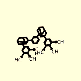 C#Cc1cc(C23CC4CC(CC(c5cccc(C67CC8CC(C6)CC(c6cc(C#C)c(C#C)c(C#C)c6)(C8)C7)c5)(C4)C2)C3)cc(C#C)c1C#C